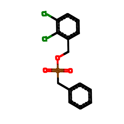 O=S(=O)(Cc1ccccc1)OCc1cccc(Cl)c1Cl